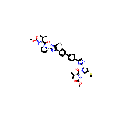 Bc1[nH]c([C@@H]2CCCN2C(=O)[C@@H](NC(=O)OC)C(C)C)nc1-c1ccc(-c2ccc(-c3c[nH]c([C@@H]4C[C@H](SC)CN4C(=O)[C@@H](NC(=O)OC)C(C)C)n3)cc2)cc1